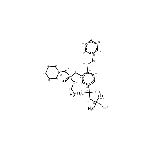 CCOP(=O)(Cc1cc(C(C)(C)CC(C)(C)C)ccc1OCc1ccccc1)ON1CCCCC1